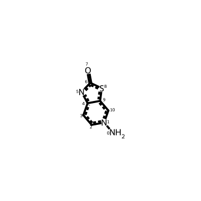 Nn1ccc2nc(=O)sc-2c1